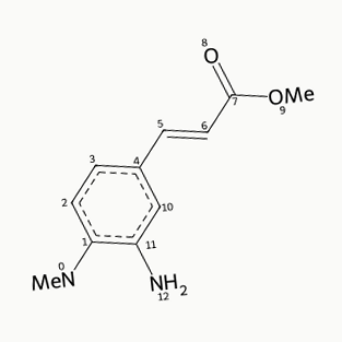 CNc1ccc(C=CC(=O)OC)cc1N